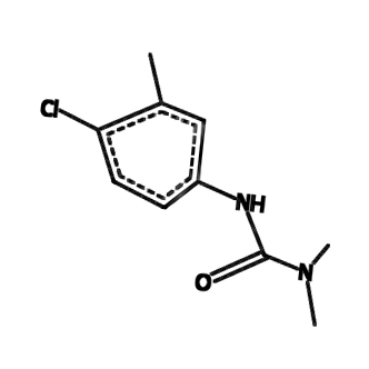 Cc1cc(NC(=O)N(C)C)ccc1Cl